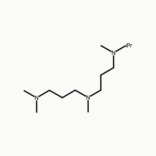 CC(C)N(C)CCCN(C)CCCN(C)C